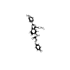 Cc1nc(N2CC3CC2CN3)nc2ccc(NC(=O)COc3ccc(Cl)cc3)cc12